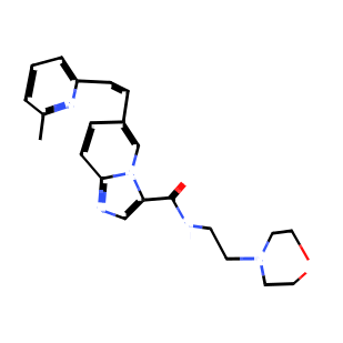 Cc1cccc(/C=C\c2ccc3ncc(C(=O)NCCN4CCOCC4)n3c2)n1